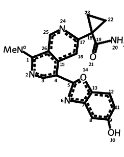 CNc1ncc(-c2nc3cc(O)ccc3o2)c2cc(C3(C(N)=O)CC3)ncc12